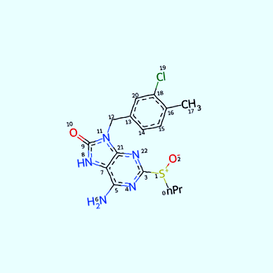 CCC[S+]([O-])c1nc(N)c2[nH]c(=O)n(Cc3ccc(C)c(Cl)c3)c2n1